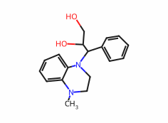 CN1CCN(C(c2ccccc2)C(O)CO)c2ccccc21